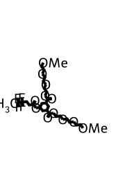 COCCOCCOCCOC(=O)C1CC(OC(=O)CCC(F)(F)C(C)(F)F)CC(C(=O)OCCOCCOCCOC)C1